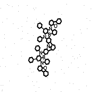 c1ccc(-c2cc3c4c(c2)N(c2cccc5c2oc2ccccc25)c2ccccc2B4c2cc4c5cccc6c7cc8c(cc7n(c4cc2N3c2ccccc2)c56)N(c2ccccc2)c2cc(-c3ccccc3)cc3c2B8c2ccccc2N3c2cccc3c2oc2ccccc23)cc1